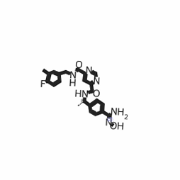 Cc1cc(CNC(=O)c2cc(C(=O)N[C@@H](C)c3ccc(/C(N)=N/O)cc3)ncn2)ccc1F